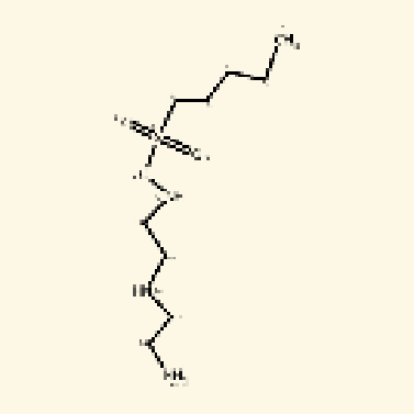 CCCCCS(=O)(=O)ONCCNCCN